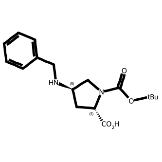 CC(C)(C)OC(=O)N1C[C@H](NCc2ccccc2)C[C@H]1C(=O)O